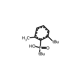 Cc1cccc(C(C)(C)C)c1P(=O)(O)C(C)(C)C